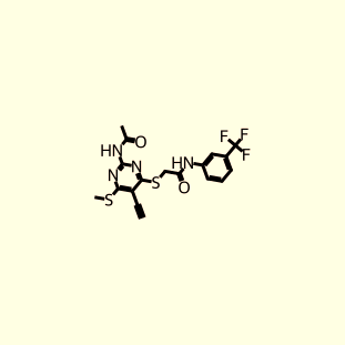 C#Cc1c(SC)nc(NC(C)=O)nc1SCC(=O)Nc1cccc(C(F)(F)F)c1